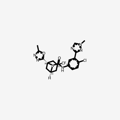 Cc1nnc([C@]23C[C@H](C[C@H](C(F)(F)F)C2)N3C(=O)Nc2ccc(Cl)c(-c3ncn(C)n3)c2)o1